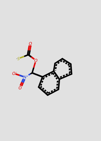 O=C([S])OC(c1cccc2ccccc12)[N+](=O)[O-]